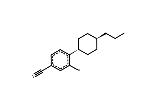 CCC[C@H]1CC[C@H](c2ccc(C#N)cc2F)CC1